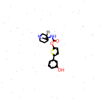 O=C(N[C@H]1CN2CCC1CC2)Oc1ccc(-c2cccc(O)c2)s1